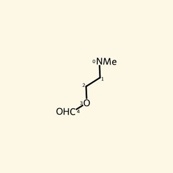 CNCCOC=O